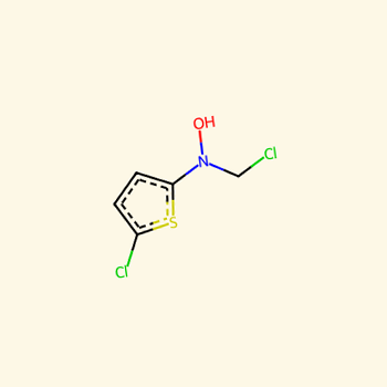 ON(CCl)c1ccc(Cl)s1